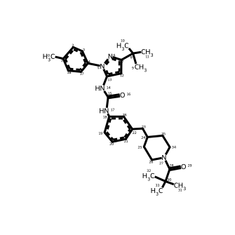 Cc1ccc(-n2nc(C(C)(C)C)cc2NC(=O)Nc2cccc(CC3CCN(C(=O)C(C)(C)C)CC3)c2)cc1